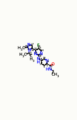 CCNC(=O)c1ccc(Nc2ncc(F)c(-c3cnc(C)n3C(C)C)n2)cn1